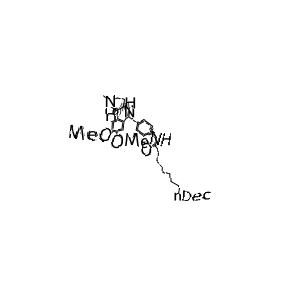 CCCCCCCCCCCCCCCCCC(=O)Nc1ccc(C2=N[C@@H]3CCN(C)C[C@@H]3c3cc(OC)c(OC)cc32)cc1